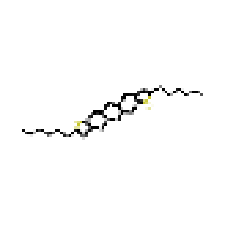 CCCCCCc1cc2cc3cc4cc5sc(CCCCCC)cc5cc4cc3cc2s1